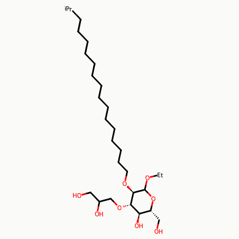 CCOC1O[C@H](CO)[C@@H](O)[C@H](OCC(O)CO)[C@H]1OCCCCCCCCCCCCCCCC(C)C